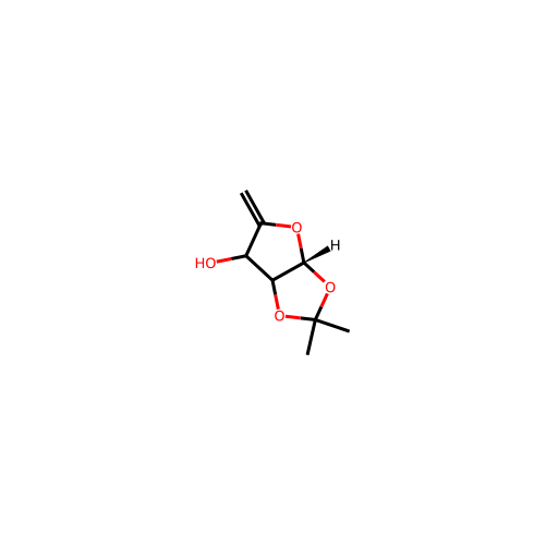 C=C1O[C@@H]2OC(C)(C)OC2C1O